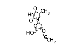 C=C=CO[C@H]1C[C@H](n2cc(C)c(=O)[nH]c2=O)O[C@@H]1CO